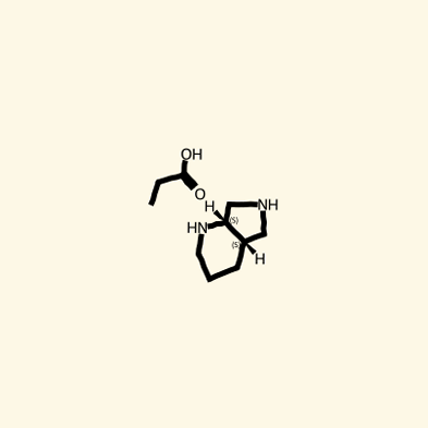 C1CN[C@@H]2CNC[C@@H]2C1.CCC(=O)O